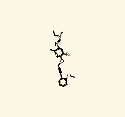 CCN(C)/C=N/c1cc(Br)c(OCC#Cc2ccccc2OC)nc1C